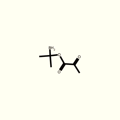 BC(C)(C)OC(=O)C(C)=O